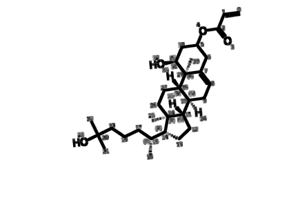 C=CC(=O)OC1CC2=CC[C@H]3[C@@H]4CC[C@H]([C@H](C)CCCC(C)(C)O)[C@@]4(C)CC[C@@H]3[C@@]2(C)[C@@H](O)C1